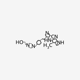 Cc1c(Nc2c(C#N)cncc2/C=C/c2ccc(CN3CCN(CCO)CC3)cc2)ccc2[nH]ccc12